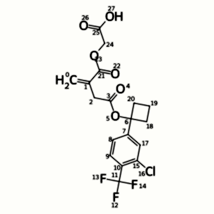 C=C(CC(=O)OC1(c2ccc(C(F)(F)F)c(Cl)c2)CCC1)C(=O)OCC(=O)O